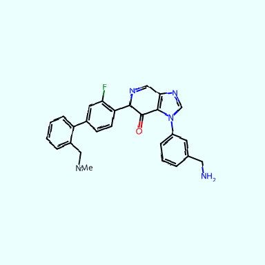 CNCc1ccccc1-c1ccc(C2N=Cc3ncn(-c4cccc(CN)c4)c3C2=O)c(F)c1